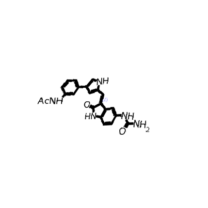 CC(=O)Nc1cccc(-c2c[nH]c(/C=C3\C(=O)Nc4ccc(NC(N)=O)cc43)c2)c1